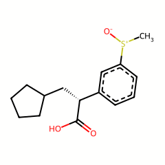 C[S+]([O-])c1cccc([C@@H](CC2CCCC2)C(=O)O)c1